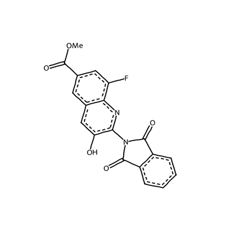 COC(=O)c1cc(F)c2nc(N3C(=O)c4ccccc4C3=O)c(O)cc2c1